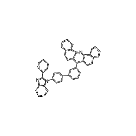 c1ccc(-c2nc3ccccc3n2-c2ccc(-c3cccc(-c4c5ccc6ccccc6c5nc5c4ccc4ccccc45)c3)cc2)nc1